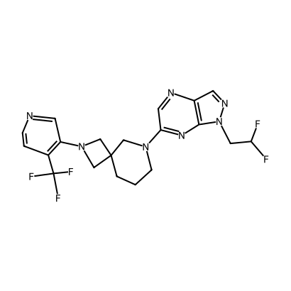 FC(F)Cn1ncc2ncc(N3CCCC4(C3)CN(c3cnccc3C(F)(F)F)C4)nc21